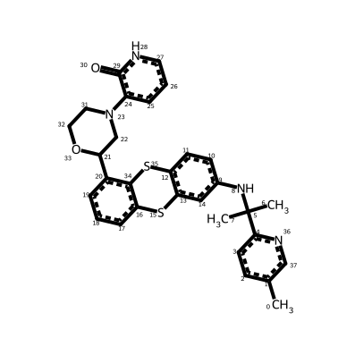 Cc1ccc(C(C)(C)Nc2ccc3c(c2)Sc2cccc(C4CN(c5ccc[nH]c5=O)CCO4)c2S3)nc1